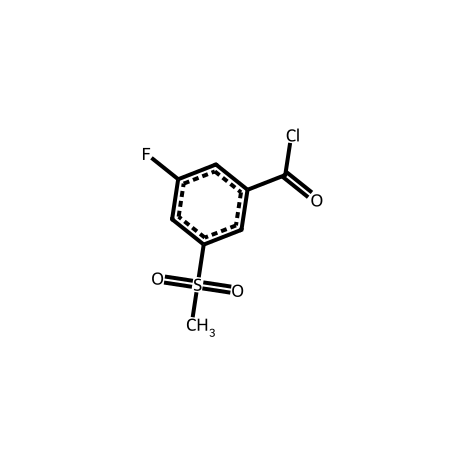 CS(=O)(=O)c1cc(F)cc(C(=O)Cl)c1